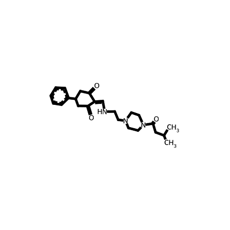 CC(C)CC(=O)N1CCN(CCNC=C2C(=O)CC(c3ccccc3)CC2=O)CC1